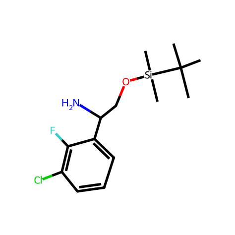 CC(C)(C)[Si](C)(C)OCC(N)c1cccc(Cl)c1F